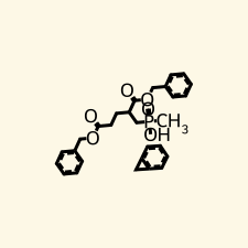 CP(=O)(O)CC(CCC(=O)OCc1ccccc1)C(=O)OCc1ccccc1.c1ccc2c(c1)C2